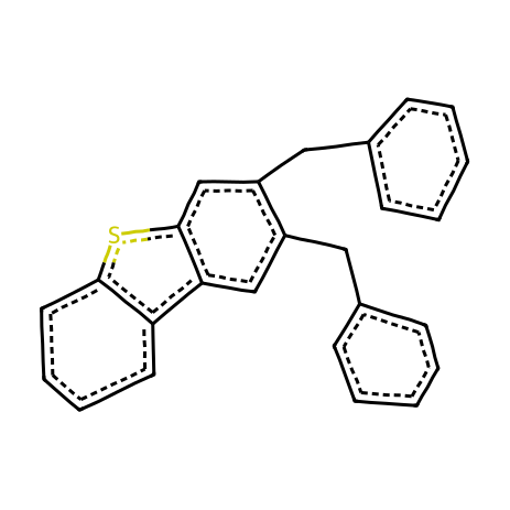 c1ccc(Cc2cc3sc4ccccc4c3cc2Cc2ccccc2)cc1